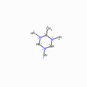 CCCN1BN(CCC)B(C)N(CCC)B1